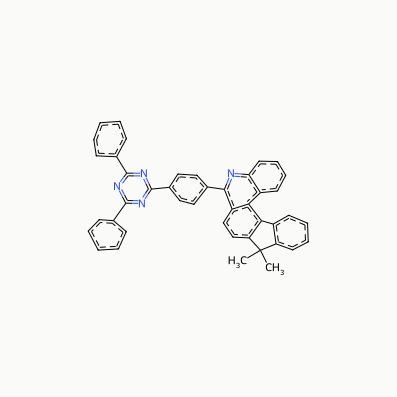 CC1(C)c2ccccc2-c2c1ccc1c(-c3ccc(-c4nc(-c5ccccc5)nc(-c5ccccc5)n4)cc3)nc3ccccc3c21